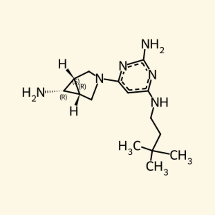 CC(C)(C)CCNc1cc(N2C[C@@H]3[C@H](N)[C@@H]3C2)nc(N)n1